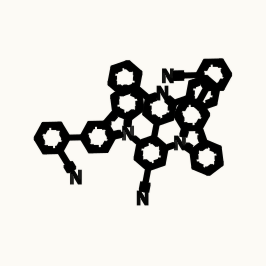 N#Cc1cc(-n2c3ccccc3c3cc(-c4ccccc4C#N)ccc32)c(-c2cc(-c3ccccc3)nc(-c3ccccc3)c2)c(-n2c3ccccc3c3cc(-c4ccccc4C#N)ccc32)c1